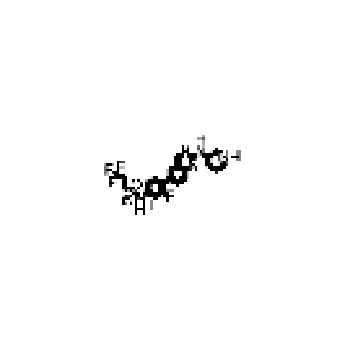 O=S(=O)(CCC(F)(F)F)Nc1ccc(-c2ccc3nc(NC4CCCNC4)ncc3c2)c(F)c1F